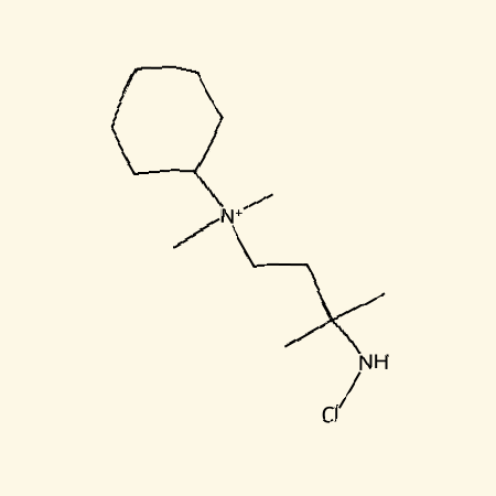 CC(C)(CC[N+](C)(C)C1CCCCC1)NCl